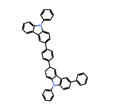 C1=c2c(n(-c3ccccc3)c3ccc(-c4ccccc4)cc23)=CCC1c1ccc(-c2ccc3c(c2)c2ccccc2n3-c2ccccc2)cc1